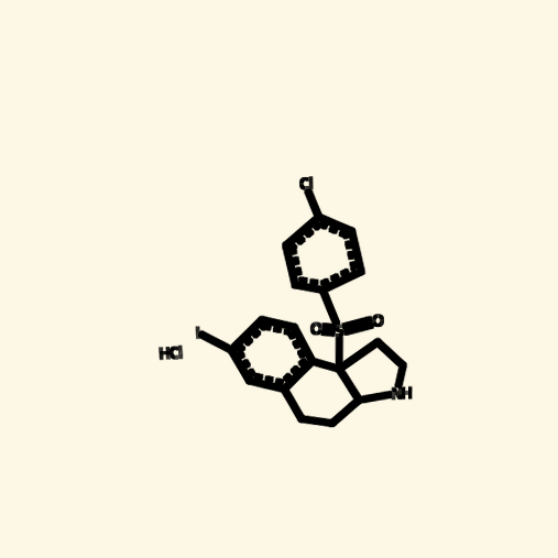 Cl.O=S(=O)(c1ccc(Cl)cc1)C12CCNC1CCc1cc(I)ccc12